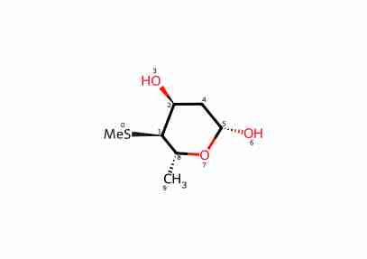 CS[C@H]1[C@@H](O)C[C@H](O)O[C@@H]1C